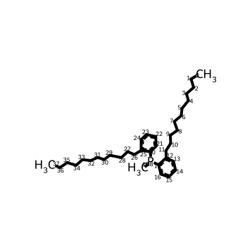 CCCCCCCCCCCCc1ccccc1P(C)c1ccccc1CCCCCCCCCCCC